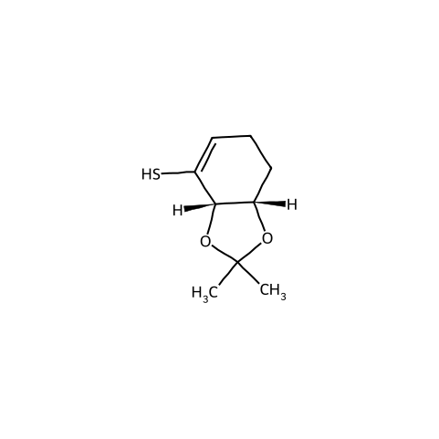 CC1(C)O[C@H]2CCC=C(S)[C@H]2O1